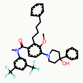 COc1c(N2CCC(O)(c3ccccc3)CC2)ccc(C(=O)N(C)c2cc(C(F)(F)F)cc(C(F)(F)F)c2)c1CCCCc1ccccc1